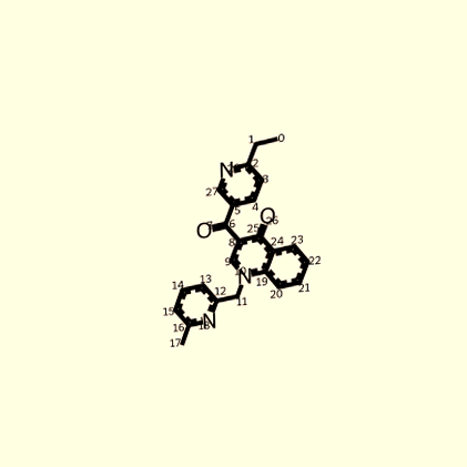 CCc1ccc(C(=O)c2cn(Cc3cccc(C)n3)c3ccccc3c2=O)cn1